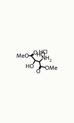 COC(=O)C(N)C(O)C(=O)OC.Cl.Cl